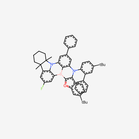 CC(C)(C)c1ccc(N2c3cc(-c4ccccc4)cc4c3B(c3cc(F)cc5c3N4C3(C)CCCCC53C)c3oc4cc(C(C)(C)C)ccc4c32)c(-c2ccccc2)c1